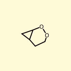 C1CC2CC2OO1